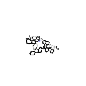 C/C=C\C1=C(C)c2ccccc2C12CCC1(CC2)c2ccccc2-c2ccc(N(c3ccc4c(c3)C(C)(C)c3ccccc3-4)c3cccc4ccccc34)cc21